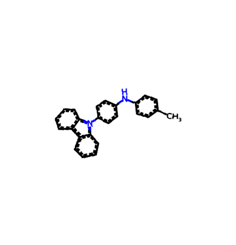 Cc1ccc(Nc2ccc(-n3c4ccccc4c4ccccc43)cc2)cc1